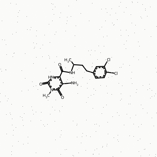 CC(CCc1ccc(Cl)c(Cl)c1)NC(=O)c1[nH]c(=O)n(C)c(=O)c1N